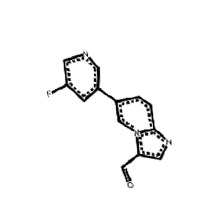 O=Cc1cnc2ccc(-c3cncc(F)c3)cn12